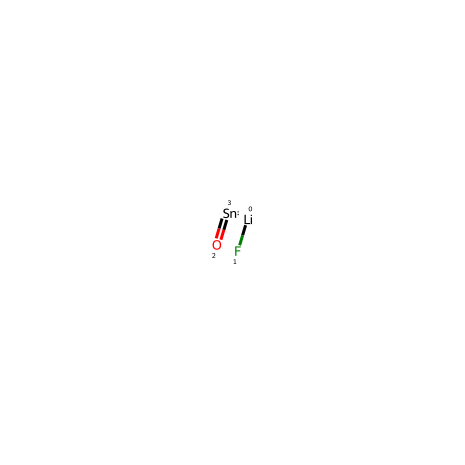 [Li][F].[O]=[Sn]